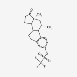 C[C@H]1C[C@]2(C)C(=O)CCC2C2CCc3cc(OS(=O)(=O)C(F)(F)F)ccc3C21